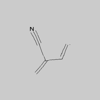 [CH]=CC(=C)C#N